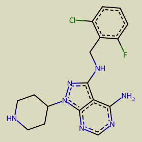 Nc1ncnc2c1c(NCc1c(F)cccc1Cl)nn2C1CCNCC1